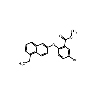 CCc1cccc2cc(Oc3ccc(Br)cc3C(=O)OC)ccc12